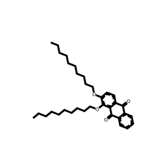 CCCCCCCCCCOc1ccc2c(c1OCCCCCCCCCC)C(=O)c1ccccc1C2=O